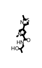 Cc1nc(-c2cc(C(=O)NCC(C)O)n(C)c2)cs1